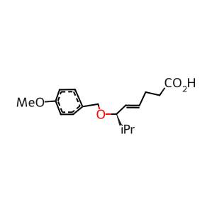 COc1ccc(CO[C@@H](/C=C/CCC(=O)O)C(C)C)cc1